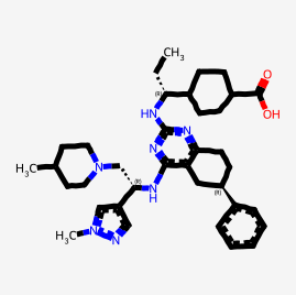 CC[C@@H](Nc1nc2c(c(N[C@@H](CN3CCC(C)CC3)c3cnn(C)c3)n1)C[C@H](c1ccccc1)CC2)C1CCC(C(=O)O)CC1